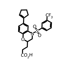 O=C(O)CCC1CN(S(=O)(=O)c2cccc(C(F)(F)F)c2)c2cc(C3=CCCC3)ccc2O1